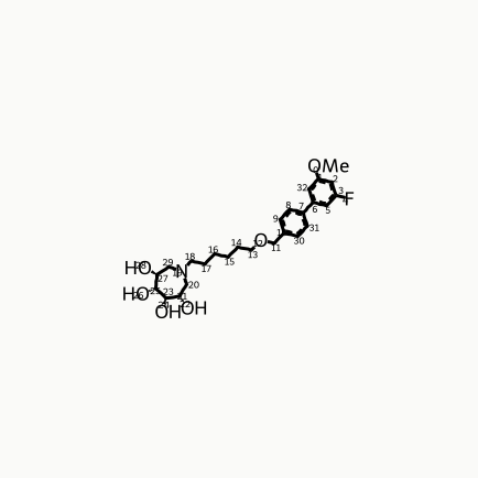 COc1cc(F)cc(-c2ccc(COCCCCCCN3C[C@H](O)[C@@H](O)[C@H](O)[C@@H](O)C3)cc2)c1